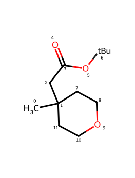 CC1(CC(=O)OC(C)(C)C)CCOCC1